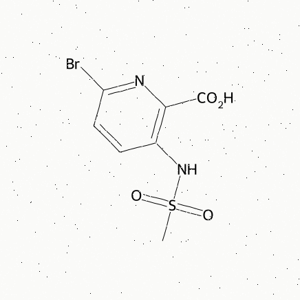 CS(=O)(=O)Nc1ccc(Br)nc1C(=O)O